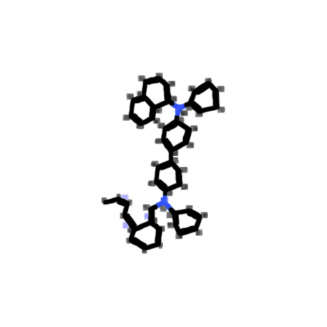 C\C=C/C=c1/cccc/c1=C\N(c1ccccc1)c1ccc(-c2ccc(N(c3ccccc3)c3cccc4ccccc34)cc2)cc1